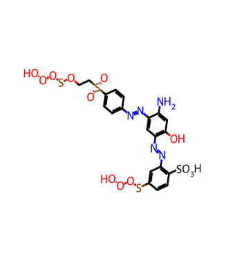 Nc1cc(O)c(/N=N/c2cc(SOOO)ccc2S(=O)(=O)O)cc1/N=N/c1ccc(S(=O)(=O)CCOSOOO)cc1